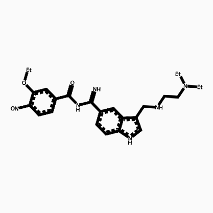 CCOc1cc(C(=O)NC(=N)c2ccc3[nH]cc(CNCCN(CC)CC)c3c2)ccc1N=O